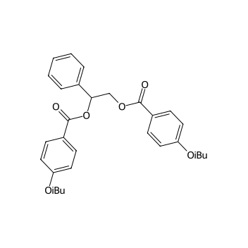 CC(C)COc1ccc(C(=O)OCC(OC(=O)c2ccc(OCC(C)C)cc2)c2ccccc2)cc1